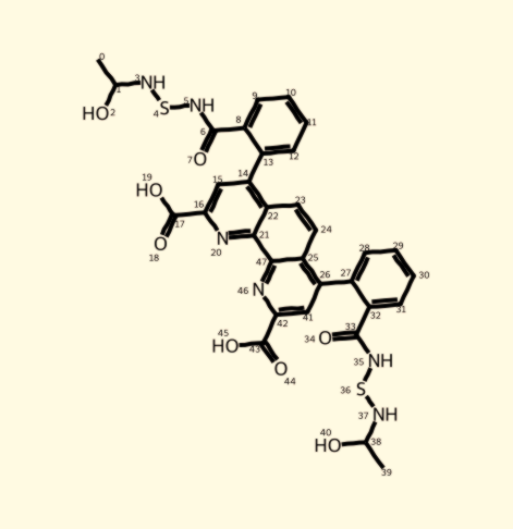 CC(O)NSNC(=O)c1ccccc1-c1cc(C(=O)O)nc2c1ccc1c(-c3ccccc3C(=O)NSNC(C)O)cc(C(=O)O)nc12